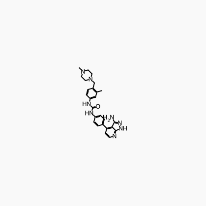 Cc1cc(NC(=O)Nc2ccc(-c3ccnc4[nH]nc(N)c34)cc2)ccc1CN1CCN(C)CC1